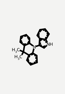 CC1(C)c2ccccc2N(c2c[nH]c3ccccc23)c2ccccc21